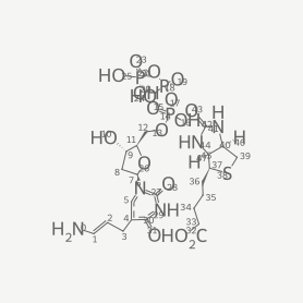 NC=CCc1cn([C@H]2C[C@H](O)[C@@H](COP(=O)(O)OP(=O)(O)OP(=O)(O)O)O2)c(=O)[nH]c1=O.O=C(O)CCCC[C@@H]1SC[C@@H]2NC(=O)N[C@@H]21